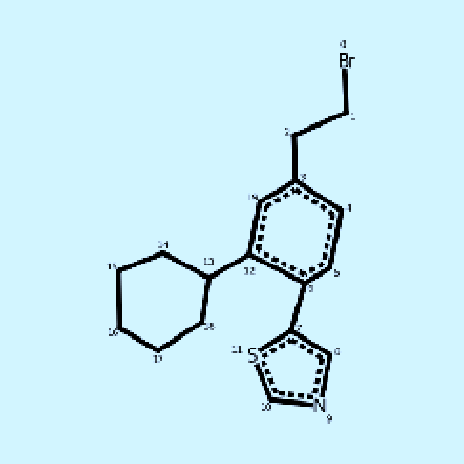 BrCCc1ccc(-c2cncs2)c(C2CCCCC2)c1